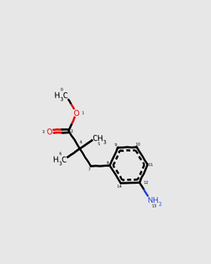 COC(=O)C(C)(C)Cc1cccc(N)c1